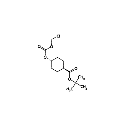 CC(C)(C)OC(=O)[C@H]1CC[C@H](OC(=O)OCCl)CC1